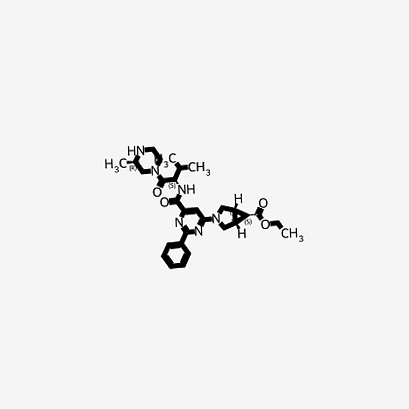 CCOC(=O)[C@@H]1[C@@H]2CN(c3cc(C(=O)N[C@H](C(=O)N4CCN[C@H](C)C4)C(C)C)nc(-c4ccccc4)n3)C[C@@H]21